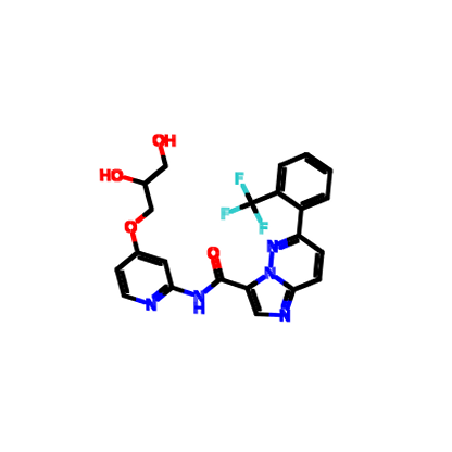 O=C(Nc1cc(OCC(O)CO)ccn1)c1cnc2ccc(-c3ccccc3C(F)(F)F)nn12